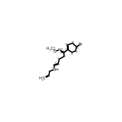 C=CCN/C=C/CC/C(=N\OC)C1=CCC(Br)CC1